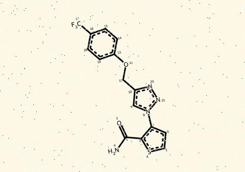 NC(=O)c1sccc1-n1cc(COc2ccc(C(F)(F)F)cc2)nn1